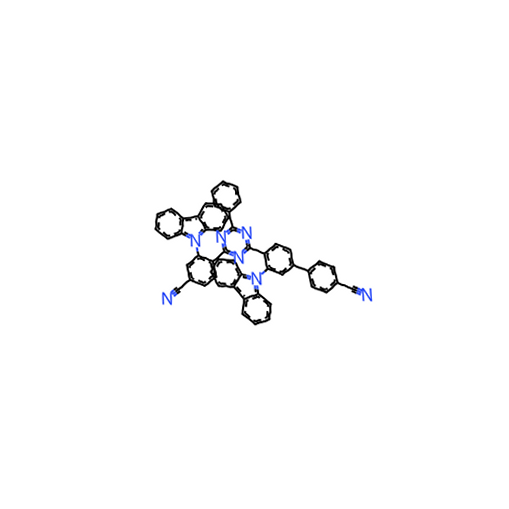 N#Cc1ccc(-c2ccc(-c3nc(-c4ccccc4)nc(-c4ccc(C#N)cc4-n4c5ccccc5c5ccccc54)n3)c(-n3c4ccccc4c4ccccc43)c2)cc1